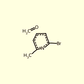 C=O.Cc1cccc(Br)n1